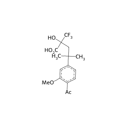 COc1cc(C(C)(C)CC(O)(C(=O)O)C(F)(F)F)ccc1C(C)=O